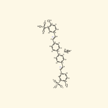 O=S(=O)([O-])c1cc(/C=C/c2ccc(-c3ccc(/C=C/c4ccc(Cl)c(S(=O)(=O)[O-])c4)cc3)cc2)ccc1Cl.[Na+].[Na+]